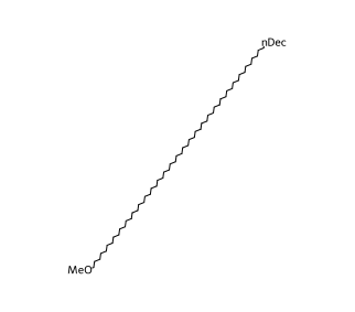 CCCCCCCCCCCCCCCCCCCCCCCCCCCCCCCCCCCCCCCCCCCCCCCCCCCCCCCCCCCCCCCCCOC